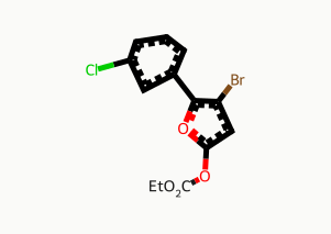 CCOC(=O)Oc1cc(Br)c(-c2cccc(Cl)c2)o1